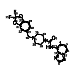 O=C(Nc1cccn2ccnc12)N1CCN(Cc2ccc3c(c2)OC(F)(F)O3)CC1